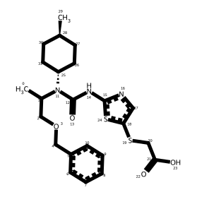 CC(COCc1ccccc1)N(C(=O)Nc1ncc(SCC(=O)O)s1)[C@H]1CC[C@H](C)CC1